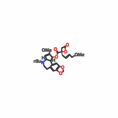 CCCCN1CCc2cc3c(cc2[C@@H]2[C@H](OC(=O)[C@@]4(C/C=C/COC)CC(=O)O4)C(OC)=C[C@@H]21)OCO3